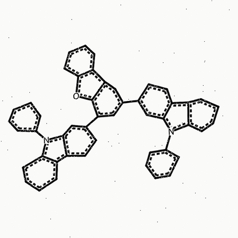 c1ccc(-n2c3ccccc3c3ccc(-c4cc(-c5ccc6c7ccccc7n(-c7ccccc7)c6c5)c5oc6ccccc6c5c4)cc32)cc1